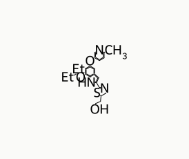 CCC(CC)Oc1cc(Oc2ccc(C)nc2)cc2cc(C3=NCC(CCO)S3)[nH]c12